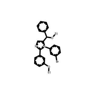 CCOc1cccc(-c2ncc(C(OCC)c3ccccc3)n2-c2cccc(Br)c2)c1